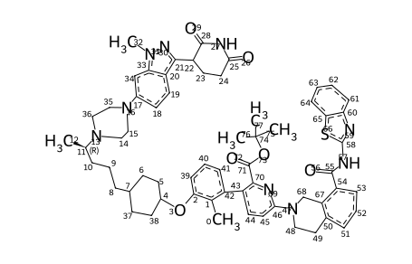 Cc1c(OC2CCC(CCC[C@@H](C)N3CCN(c4ccc5c(C6CCC(=O)NC6=O)nn(C)c5c4)CC3)CC2)cccc1-c1ccc(N2CCc3cccc(C(=O)Nc4nc5ccccc5s4)c3C2)nc1C(=O)OC(C)(C)C